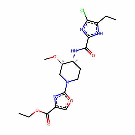 CCOC(=O)c1coc(N2CC[C@@H](NC(=O)c3nc(Cl)c(CC)[nH]3)[C@@H](OC)C2)n1